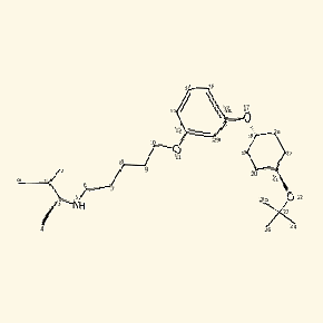 CC(C)[C@H](C)NCCCCCOc1cccc(O[C@H]2CC[C@H](OC(C)(C)C)CC2)c1